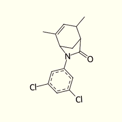 CC1=CC(C)C2CC1N(c1cc(Cl)cc(Cl)c1)C2=O